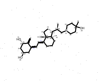 C=C1/C(=C\C=C2/CCC[C@]3(C)[C@@H]([C@@H](C)CN4CCC(C)(O)CC4)CC[C@@H]23)C[C@@H](O)C[C@@H]1O